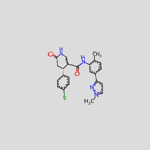 Cc1ccc(-c2ccn(C)n2)cc1NC(=O)C1=CNC(=O)C[C@H]1c1ccc(F)cc1